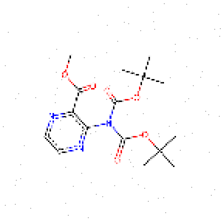 COC(=O)c1nccnc1N(C(=O)OC(C)(C)C)C(=O)OC(C)(C)C